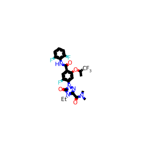 CCn1c(C(=O)N(C)C)nn(-c2cc(OC(C)C(F)(F)F)c(C(=O)Nc3c(F)cccc3F)cc2F)c1=O